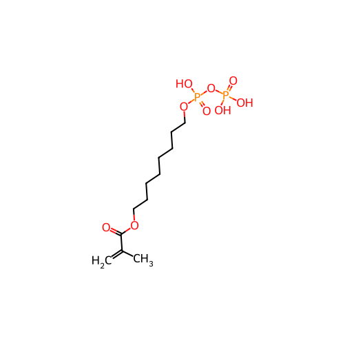 C=C(C)C(=O)OCCCCCCCCOP(=O)(O)OP(=O)(O)O